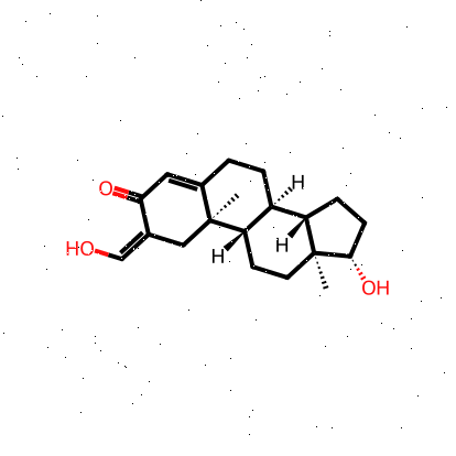 C[C@]12CC[C@H]3[C@@H](CCC4=CC(=O)C(=CO)C[C@@]43C)[C@@H]1CC[C@@H]2O